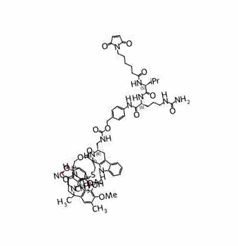 COc1c(C)cc2c(c1O)[C@@H]1[C@@H]3[C@@H]4SC[C@]5(N[C@@H](CNC(=O)OCc6ccc(NC(=O)[C@H](CCCNC(N)=O)NC(=O)[C@@H](NC(=O)CCCCCN7C(=O)C=CC7=O)C(C)C)cc6)Cc6c5[nH]c5ccccc65)C(=O)OC[C@@H](c5c6c(c(C)c(OC(C)=O)c54)OCO6)N3C3(C#N)CN1C2(C)C3